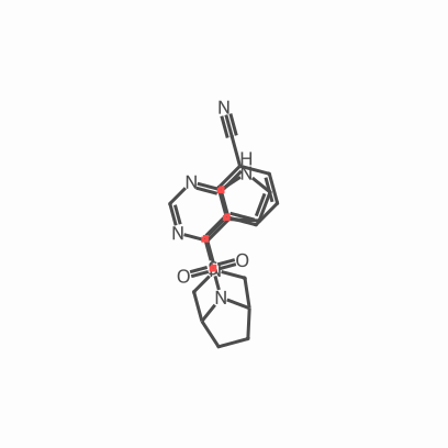 N#Cc1cccc(CS(=O)(=O)N2C3CCC2CN(c2ncnc4[nH]ccc24)C3)c1